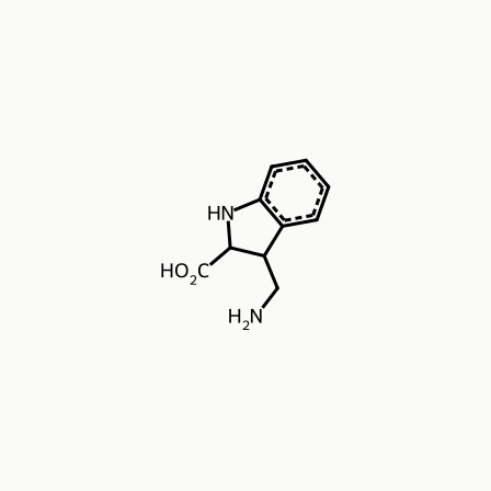 NCC1c2ccccc2NC1C(=O)O